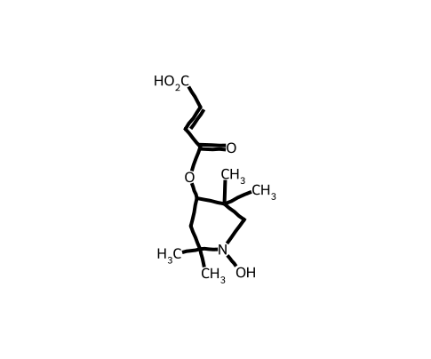 CC1(C)CN(O)C(C)(C)CC1OC(=O)C=CC(=O)O